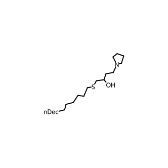 CCCCCCCCCCCCCCCCSCC(O)CCN1CCCC1